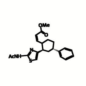 COC(=O)/C=C\C1CC[C@H](c2ccccc2)C[C@H]1c1csc(NC(C)=O)n1